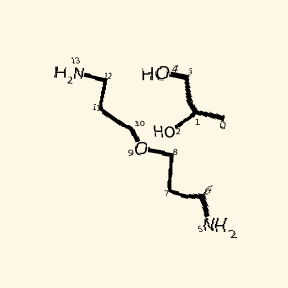 CC(O)CO.NCCCOCCCN